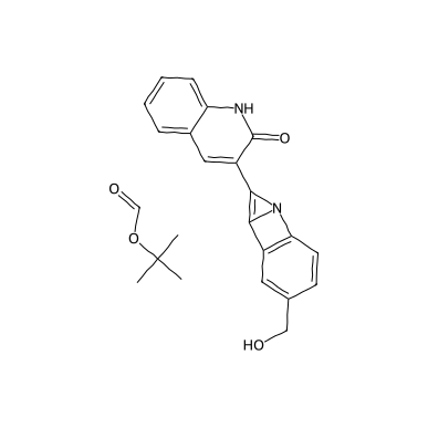 CC(C)(C)OC=O.O=c1[nH]c2ccccc2cc1-c1c2c3cc(CO)ccc3n1-2